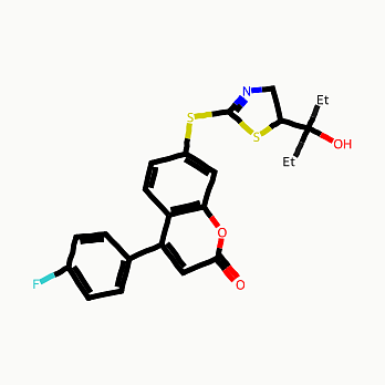 CCC(O)(CC)C1CN=C(Sc2ccc3c(-c4ccc(F)cc4)cc(=O)oc3c2)S1